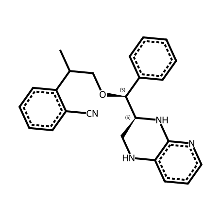 CC(CO[C@@H](c1ccccc1)[C@@H]1CNc2cccnc2N1)c1ccccc1C#N